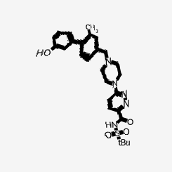 Cc1cc(CN2CCN(c3ccc(C(=O)NS(=O)(=O)C(C)(C)C)nn3)CC2)ccc1-c1cccc(O)c1